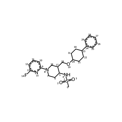 CS(=O)(=O)NC1CCN(c2cccc(F)n2)CC1COC1CCC(c2ccccc2)CC1